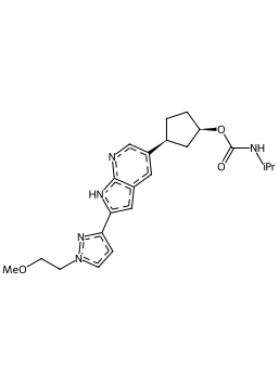 COCCn1ccc(-c2cc3cc([C@H]4CC[C@@H](OC(=O)NC(C)C)C4)cnc3[nH]2)n1